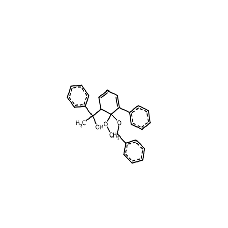 COC1(OCc2ccccc2)C(c2ccccc2)=CC=CC1C(C)(O)c1ccccc1